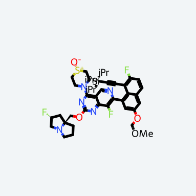 COCOc1cc(-c2ncc3c(N4CC[S+]([O-])CC4)nc(OC[C@@]45CCCN4C[C@H](F)C5)nc3c2F)c2c(C#C[Si](C(C)C)(C(C)C)C(C)C)c(F)ccc2c1